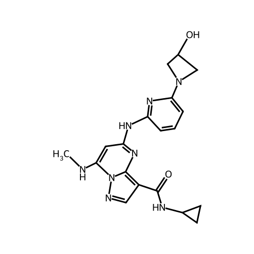 CNc1cc(Nc2cccc(N3CC(O)C3)n2)nc2c(C(=O)NC3CC3)cnn12